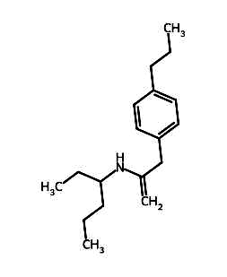 C=C(Cc1ccc(CCC)cc1)NC(CC)CCC